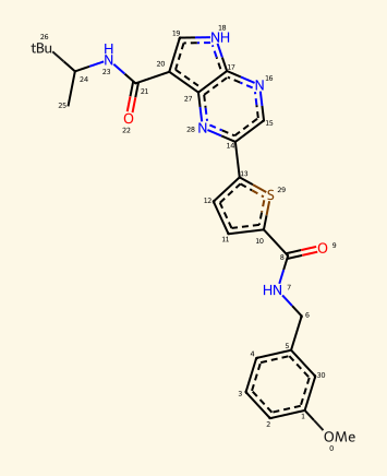 COc1cccc(CNC(=O)c2ccc(-c3cnc4[nH]cc(C(=O)NC(C)C(C)(C)C)c4n3)s2)c1